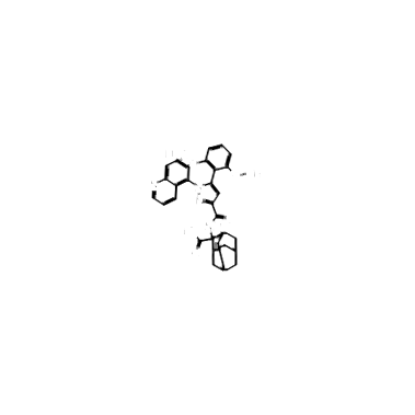 COc1cccc(OC)c1-c1cc(C(=O)NC2(C(=O)O)C3CC4CC(C3)CC2C4)nn1-c1cccc2ncccc12